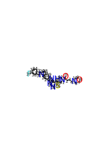 O=C(C=CCN1CCOCC1)N1CCc2c(sc3ncnc(Nc4ccc5c(ccn5Cc5cccc(F)c5)c4)c23)C1